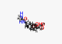 C[C@]12CC[C@H](NC(=O)[C@H]3CCCN3)C[C@H]1CC[C@@H]1[C@@H]2C[C@@H](O)[C@]2(C)[C@@H](C3=CC(=O)OC3)CC[C@]12O